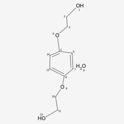 O.OCCOc1ccc(OCCO)cc1